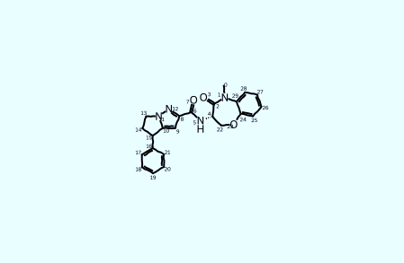 CN1C(=O)[C@@H](NC(=O)c2cc3n(n2)CCC3c2ccccc2)COc2ccccc21